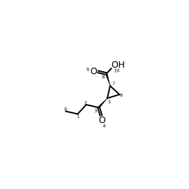 CCCC(=O)[C@@H]1C[C@@H]1C(=O)O